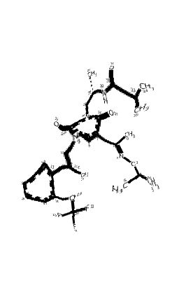 C/C(=N\OC(C)C)c1cn(CC(O)c2ccccc2OC(F)(F)F)c(=O)n(C[C@H](C)NC(=O)C(C)C)c1=O